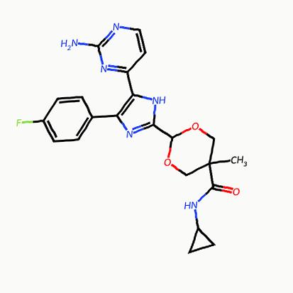 CC1(C(=O)NC2CC2)COC(c2nc(-c3ccc(F)cc3)c(-c3ccnc(N)n3)[nH]2)OC1